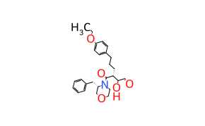 CCOc1ccc(CCC[C@@H](C(=O)N2CCOC[C@@H]2Cc2ccccc2)[C@H](O)C=O)cc1